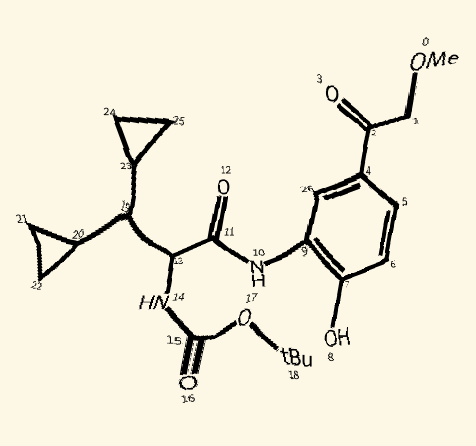 COCC(=O)c1ccc(O)c(NC(=O)C(NC(=O)OC(C)(C)C)C(C2CC2)C2CC2)c1